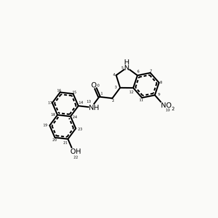 O=C(CC1CNc2ccc([N+](=O)[O-])cc21)Nc1cccc2ccc(O)cc12